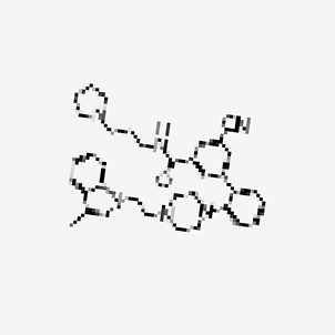 Cc1cn(CCN2CCN(c3ccccc3-c3cc(C#N)cc(C(=O)NCCCN4CCCC4)c3)CC2)c2ccccc12